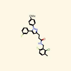 COc1ccc(-n2nc(CCC(=O)NCc3c(F)ccc(C)c3Cl)cc2-c2cccc(F)c2)cc1